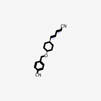 N#C/C=C/C=C/[C@H]1CC[C@H](OCc2ccc(C#N)cc2)CC1